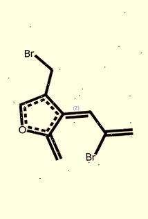 C=C(Br)/C=c1/c(CBr)coc1=C